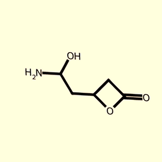 NC(O)CC1CC(=O)O1